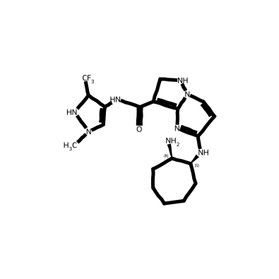 CN1C=C(NC(=O)C2=C3N=C(N[C@H]4CCCCC[C@H]4N)C=CN3NC2)C(C(F)(F)F)N1